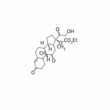 CCOC(=O)O[C@]1(C(=O)CO)CC[C@H]2[C@@H]3CCC4=CC(=O)CC[C@]4(C)[C@H]3C(=O)C[C@@]21C